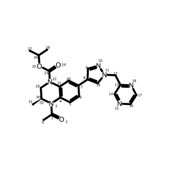 CC(=O)N1c2ccc(-c3cnn(Cc4cnccn4)c3)cc2N(C(=O)OC(C)C)C[C@@H]1C